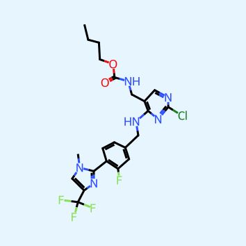 CCCCOC(=O)NCc1cnc(Cl)nc1NCc1ccc(-c2nc(C(F)(F)F)cn2C)c(F)c1